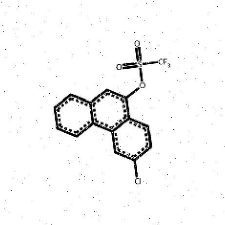 O=S(=O)(Oc1cc2ccccc2c2cc(Cl)ccc12)C(F)(F)F